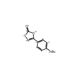 CCCCc1ccc(-c2nsc(=O)o2)cc1